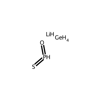 O=[PH]=S.[GeH4].[LiH]